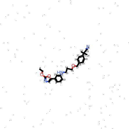 CCOc1ncc(-c2cccc(NCCCOCc3ccc(C(C)(C)C#N)cc3)c2)o1